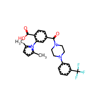 Cc1ccc(C)n1-c1cc(C(=O)N2CCN(c3cccc(C(F)(F)F)c3)CC2)ccc1C(=O)O